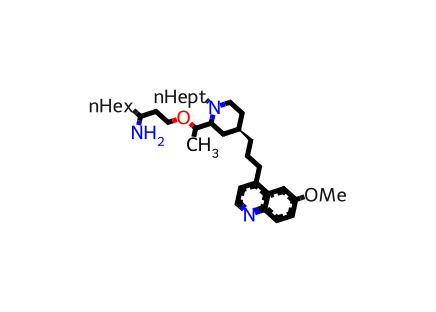 CCCCCCCN1CC[C@@H](CCCc2ccnc3ccc(OC)cc23)CC1C(C)OCCC(N)CCCCCC